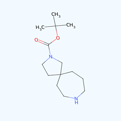 CC(C)(C)OC(=O)N1CCC2(CCCNCC2)C1